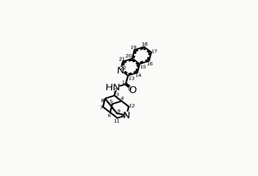 O=C(NC1C2CC3CC1CN(C3)C2)c1cc2ccccc2cn1